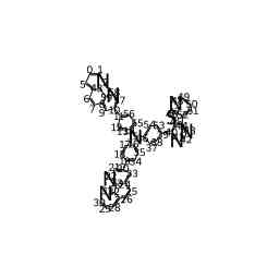 c1cnc2c(c1)ccc1cc(-c3ccc(N(c4ccc(-c5cnc6c(ccc7cccnc76)c5)cc4)c4ccc(-c5ncnc6c5sc5ncccc56)cc4)cc3)cnc12